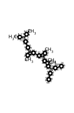 Cc1ccc(N(c2ccc(C)cc2)c2ccc(-c3ccc(-n4c5ccc(C)cc5c5cc(-c6ccc7c(c6)c6cc(C)ccc6n7-c6ccc7c(c6)C(C)(C)c6cc(N(c8ccc(-c9ccccc9)cc8)c8ccc(-c9ccccc9)cc8)ccc6-7)ccc54)cc3)cc2)cc1